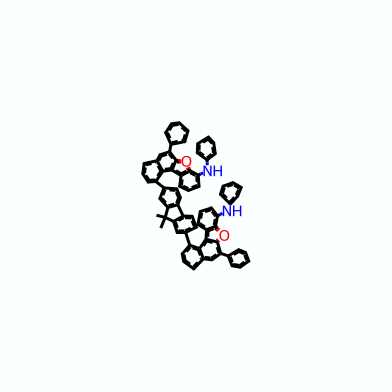 CC1(C)c2cc(-c3cccc4cc(-c5ccccc5)c5oc6c(Nc7ccccc7)cccc6c5c34)ccc2-c2ccc(-c3cccc4cc(-c5ccccc5)c5oc6c(Nc7ccccc7)cccc6c5c34)cc21